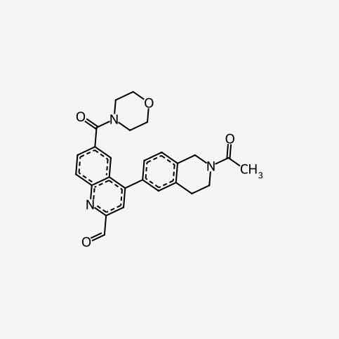 CC(=O)N1CCc2cc(-c3cc(C=O)nc4ccc(C(=O)N5CCOCC5)cc34)ccc2C1